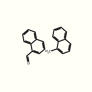 Cc1cccc2ccccc12.O=Cc1cccc2ccccc12